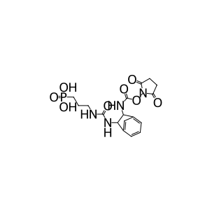 O=C(NCCCP(=O)(O)O)NC1c2cccc(c2)C1NC(=O)ON1C(=O)CCC1=O